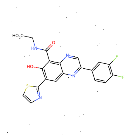 O=C(O)CNC(=O)c1c(O)c(-c2nccs2)cc2nc(-c3ccc(F)c(F)c3)cnc12